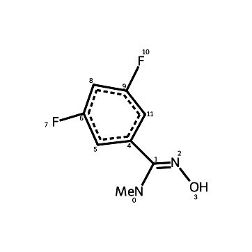 CNC(=NO)c1cc(F)cc(F)c1